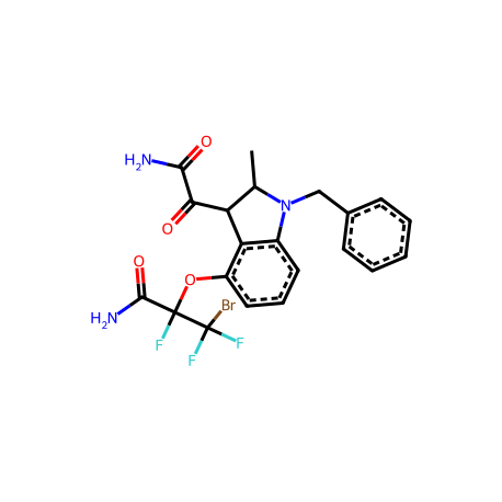 CC1C(C(=O)C(N)=O)c2c(OC(F)(C(N)=O)C(F)(F)Br)cccc2N1Cc1ccccc1